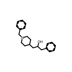 OC(Cc1ccccc1)CC1CCN(Cc2ccccc2)CC1